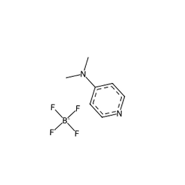 CN(C)c1ccncc1.F[B-](F)(F)F